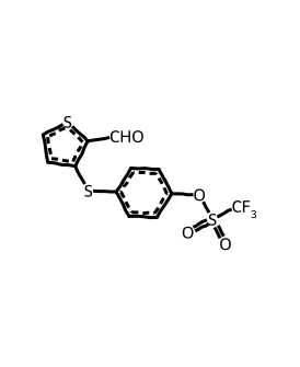 O=Cc1sccc1Sc1ccc(OS(=O)(=O)C(F)(F)F)cc1